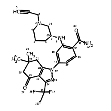 C#CCN1CCC[C@@H](Nc2cc(-n3nc(C(F)(F)F)c4c3CC(C)(C)CC4=O)ccc2C(N)=O)C1